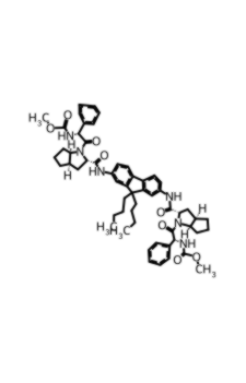 CCCCC1(CCCC)c2cc(NC(=O)[C@@H]3C[C@H]4CCC[C@H]4N3C(=O)[C@H](NC(=O)OC)c3ccccc3)ccc2-c2ccc(NC(=O)[C@@H]3C[C@H]4CCC[C@H]4N3C(=O)[C@H](NC(=O)OC)c3ccccc3)cc21